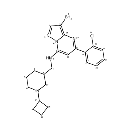 Bc1cnn2c(NCC3CCCN(C4CCC4)C3)cc(-c3ccccc3Cl)nc12